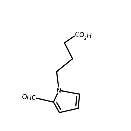 O=Cc1cccn1CCCC(=O)O